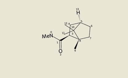 CNC(=O)[C@H]1C[C@H]2CC[C@@]1(C)C2(C)C